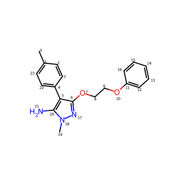 Cc1ccc(-c2c(OCCOc3ccccc3)nn(C)c2N)cc1